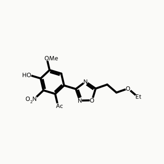 CCOCCc1nc(-c2cc(OC)c(O)c([N+](=O)[O-])c2C(C)=O)no1